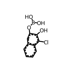 OB(O)Oc1cc2ccccc2c(Cl)c1O